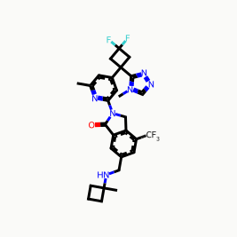 Cc1cc(C2(c3nncn3C)CC(F)(F)C2)cc(N2Cc3c(cc(CNC4(C)CCC4)cc3C(F)(F)F)C2=O)n1